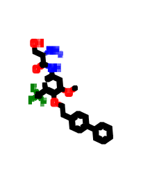 C=C(/C=C(OC)\C(OCCc1ccc(-c2ccccc2)cc1)=C(/C)C(F)(F)F)NC(=O)[C@@H](N)CO